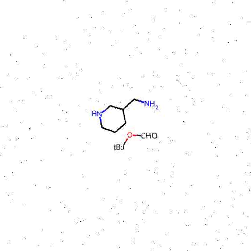 CC(C)(C)OC=O.NCC1CCCNC1